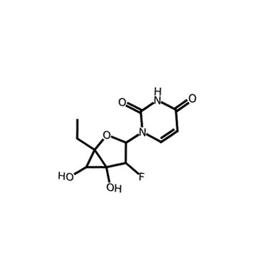 CCC12OC(n3ccc(=O)[nH]c3=O)C(F)C1(O)C2O